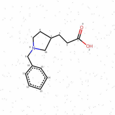 O=C(O)CCC1CCN(Cc2ccccc2)C1